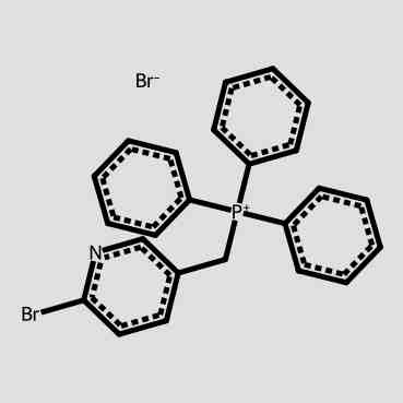 Brc1ccc(C[P+](c2ccccc2)(c2ccccc2)c2ccccc2)cn1.[Br-]